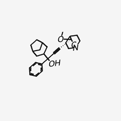 CO[C@]1(C#CC(O)(c2ccccc2)C2CC3CCC(C3)C2)CN2CCC1CC2